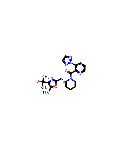 Cc1oc(C[C@H]2CCCCN2C(=O)c2ncccc2-n2nccn2)nc1C(C)(C)O